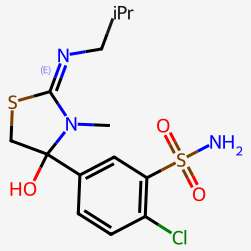 CC(C)C/N=C1/SCC(O)(c2ccc(Cl)c(S(N)(=O)=O)c2)N1C